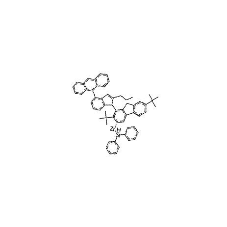 CCCC1=Cc2c(-c3c4ccccc4cc4ccccc34)cccc2C1c1c2c(c[c]([Zr][SiH](c3ccccc3)c3ccccc3)c1C(C)(C)C)-c1ccc(C(C)(C)C)cc1C2